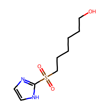 O=S(=O)(CCCCCCO)c1ncc[nH]1